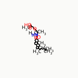 COC(CO)CCOCCC(C)(C)CNC(=O)OC1CCC2(C)C(=CCC3C2CCC2(C)C(C(C)CCCC(C)C)CCC32)C1